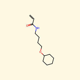 C=CC(=O)NCCCCOC1CCCCC1